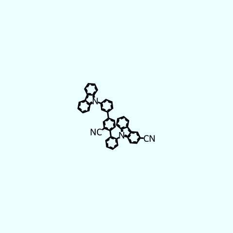 N#Cc1ccc2c(c1)c1ccccc1n2-c1ccccc1-c1ccc(-c2cccc(-n3c4ccccc4c4ccccc43)c2)cc1C#N